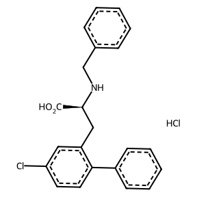 Cl.O=C(O)[C@H](Cc1cc(Cl)ccc1-c1ccccc1)NCc1ccccc1